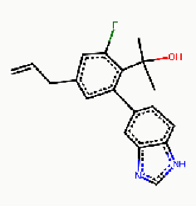 C=CCc1cc(F)c(C(C)(C)O)c(-c2ccc3[nH]cnc3c2)c1